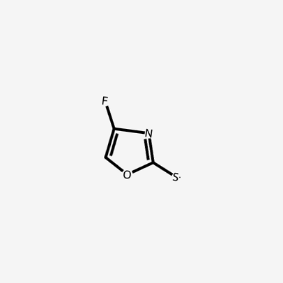 Fc1coc([S])n1